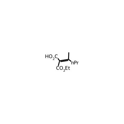 CCCC(C)=C(C(=O)O)C(=O)OCC